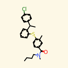 CCCCN(C)C(=O)c1ccc(Sc2ccccc2C(C)c2ccc(Cl)cc2)c(C)c1